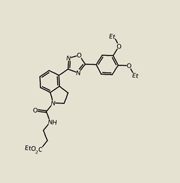 CCOC(=O)CCNC(=O)N1CCc2c(-c3noc(-c4ccc(OCC)c(OCC)c4)n3)cccc21